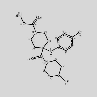 CC(C)C1CCN(C(=O)C2(Nc3ccc(Cl)cc3)CCN(C(=O)OC(C)(C)C)CC2)CC1